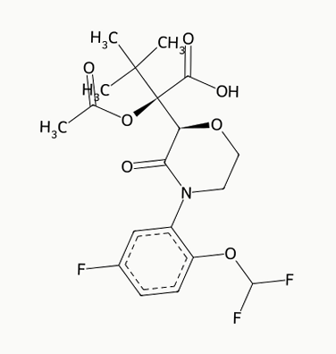 CC(=O)O[C@@](C(=O)O)([C@H]1OCCN(c2cc(F)ccc2OC(F)F)C1=O)C(C)(C)C